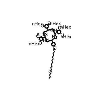 C=CCCOCCCCCCCCCCCCOc1ccc(-c2c3nc(c(-c4cc(OCCCCCC)cc(OCCCCCC)c4)c4ccc([nH]4)c(-c4cc(OCCCCCC)cc(OCCCCCC)c4)c4nc(c(-c5cc(OCCCCCC)cc(OCCCCCC)c5)c5ccc2[nH]5)C=C4)C=C3)cc1